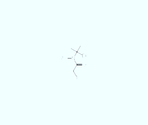 CCC(C)(C)N(C(C)=O)C(=O)CI